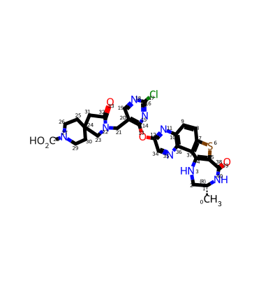 C[C@@H]1CNc2c(sc3ccc4nc(Oc5nc(Cl)ncc5CN5CC6(CCN(C(=O)O)CC6)CC5=O)cnc4c23)C(=O)N1